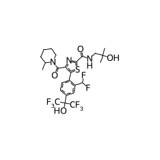 CC1CCCCN1C(=O)c1nc(C(=O)NCC(C)(C)O)sc1-c1ccc(C(O)(C(F)(F)F)C(F)(F)F)cc1C(F)F